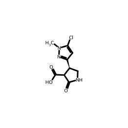 Cn1nc([C@H]2CNC(=O)C2C(=O)O)cc1Cl